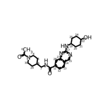 CC(=O)N1CCC(CNC(=O)c2ccc3cnc(NC4CCC(O)CC4)nc3c2)CC1